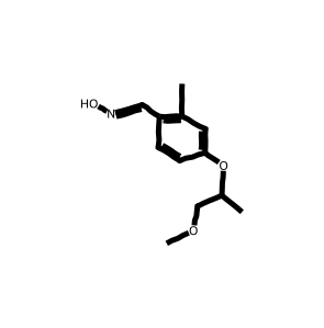 COCC(C)Oc1ccc(C=NO)c(C)c1